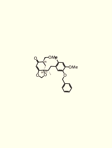 COC[C@H]1C[C@]2([C@@H](C)Cc3cc(OCc4ccccc4)c(OC)cc3F)OCOC2=CC1=O